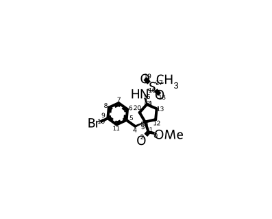 COC(=O)[C@@]1(Cc2cccc(Br)c2)CC[C@H](NS(C)(=O)=O)C1